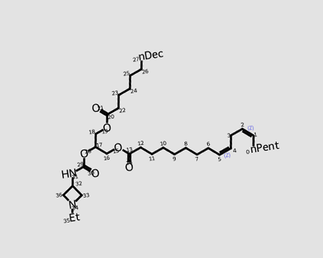 CCCCC/C=C\C/C=C\CCCCCCCC(=O)OCC(COC(=O)CCCCCCCCCCCCCCC)OC(=O)NC1CN(CC)C1